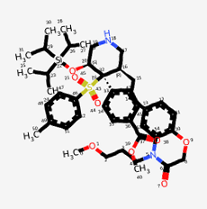 COCCCN1C(=O)COc2ccc(CC[C@@H]3CNC[C@H](O[Si](C(C)C)(C(C)C)C(C)C)[C@]3(c3ccc(C(=O)OC)cc3)S(=O)(=O)c3ccc(C)cc3)cc21